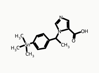 CC(c1cc[c]([Sn]([CH3])([CH3])[CH3])cc1)n1cncc1C(=O)O